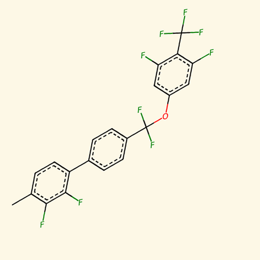 Cc1ccc(-c2ccc(C(F)(F)Oc3cc(F)c(C(F)(F)F)c(F)c3)cc2)c(F)c1F